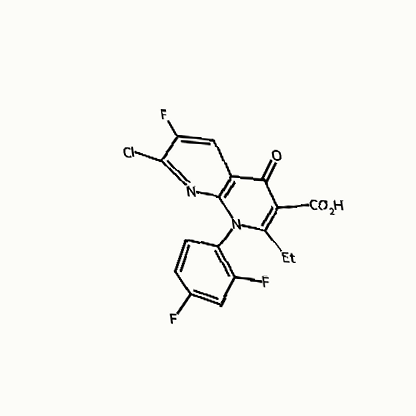 CCc1c(C(=O)O)c(=O)c2cc(F)c(Cl)nc2n1-c1ccc(F)cc1F